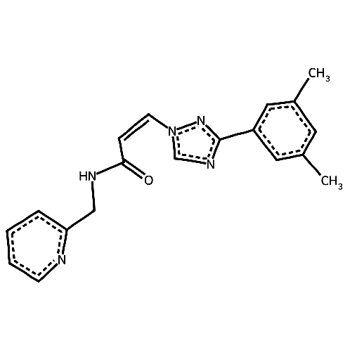 Cc1cc(C)cc(-c2ncn(/C=C\C(=O)NCc3ccccn3)n2)c1